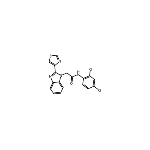 O=C(Cn1c(-c2cscn2)nc2ccccc21)Nc1ccc(Cl)cc1Cl